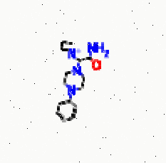 [C-]#[N+]C(C(N)=O)N1CCN(c2ccccc2)CC1